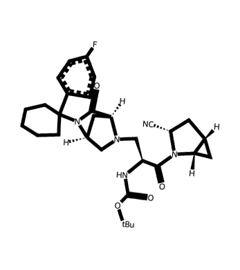 CC(C)(C)OC(=O)N[C@@H](CN1C[C@@H]2C[C@H]1C(=O)N2C1(c2ccc(F)cc2)CCCCC1)C(=O)N1[C@H](C#N)C[C@@H]2C[C@@H]21